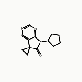 O=C1N(C2CCCC2)c2ncncc2C12CC2